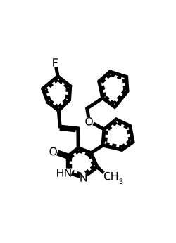 Cc1n[nH]c(=O)c(C=Cc2ccc(F)cc2)c1-c1ccccc1OCc1ccccc1